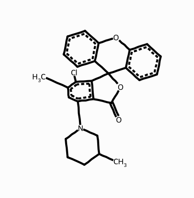 Cc1cc(N2CCCC(C)C2)c2c(c1Cl)C1(OC2=O)c2ccccc2Oc2ccccc21